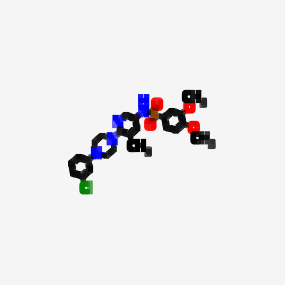 COc1ccc(S(=O)(=O)Nc2cnc(N3CCN(c4cccc(Cl)c4)CC3)c(C)c2)cc1OC